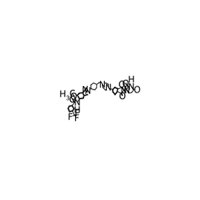 COc1cc2nn(C3CCC(CN4CCN(c5ccc6c(c5)C(=O)N(N5CCC(=O)NC5=O)C6=O)CC4)CC3)cc2cc1NC(=O)c1cccc(C(F)(F)F)c1